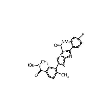 CNC(=O)c1c(-c2ccc(F)cc2)nc2sc(-c3cc(C(=O)N(C)C(C)(C)C)ccc3C)cn12